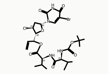 C=CC(OC(=O)[C@@H](NC(=O)[C@@H](NC(=O)OC(C)(C)C)C(C)C)C(C)C)[C@H]1O[C@@H](n2cc(Br)c(=O)[nH]c2=O)C[C@@H]1Cl